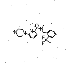 CN1CCN(c2cccc(C(=O)N(C)Cc3ccccc3C(F)(F)F)n2)CC1